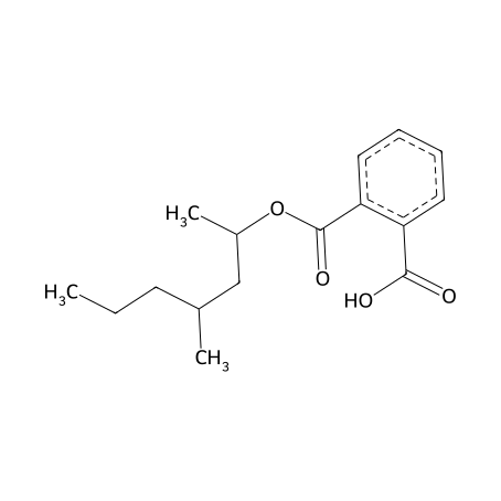 CCCC(C)CC(C)OC(=O)c1ccccc1C(=O)O